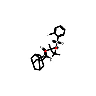 CC(O)NC(=O)C12CC3CC(C1)C(NC(=O)C(C)(C)NS(=O)(=O)c1ccccc1Cl)C(C3)C2